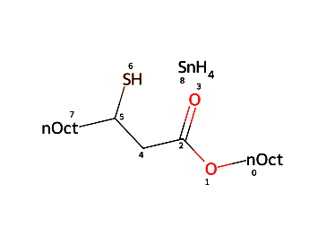 CCCCCCCCOC(=O)CC(S)CCCCCCCC.[SnH4]